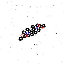 c1ccc(N(c2ccccc2-c2cccc3c2oc2ccccc23)c2cc3c(c4ccccc24)-c2c(cc(N(c4ccccc4)c4ccccc4-c4cccc5c4oc4ccccc45)c4ccccc24)C3(c2ccccc2)c2ccccc2)cc1